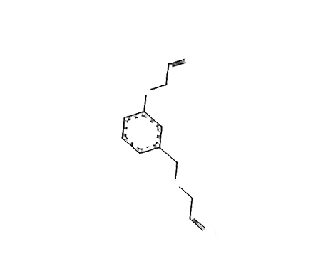 C=CCOCc1[c]ccc(OCC=C)c1